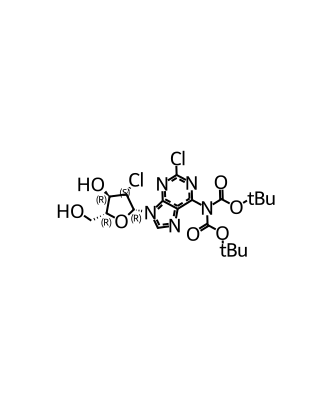 CC(C)(C)OC(=O)N(C(=O)OC(C)(C)C)c1nc(Cl)nc2c1ncn2[C@@H]1O[C@H](CO)[C@@H](O)[C@@H]1Cl